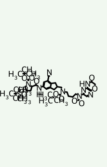 CC(C)(C)OC(=O)N(CCC1CN(c2cnc3c(n2)NC(=O)CO3)C(=O)O1)CC1Cc2cc(NC(=O)C3CC(O[Si](C)(C)C(C)(C)C)CN3C(=O)OC(C)(C)C)cc(C#N)c2C1